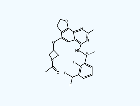 CC(=O)N1CC(Oc2cc3c(N[C@H](C)c4cccc(C(F)F)c4F)nc(C)nc3c3c2CCO3)C1